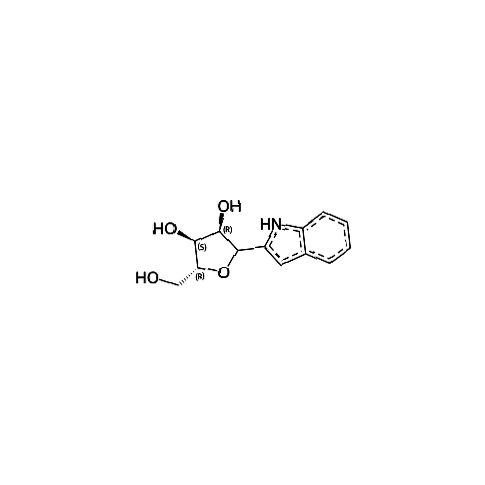 OC[C@H]1OC(c2cc3ccccc3[nH]2)[C@H](O)[C@@H]1O